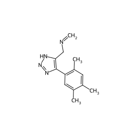 C=NCc1[nH]nnc1-c1cc(C)c(C)cc1C